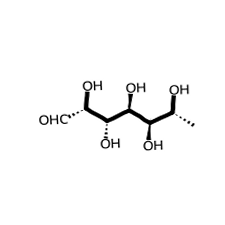 C[C@@H](O)[C@@H](O)[C@H](O)[C@H](O)[C@@H](O)C=O